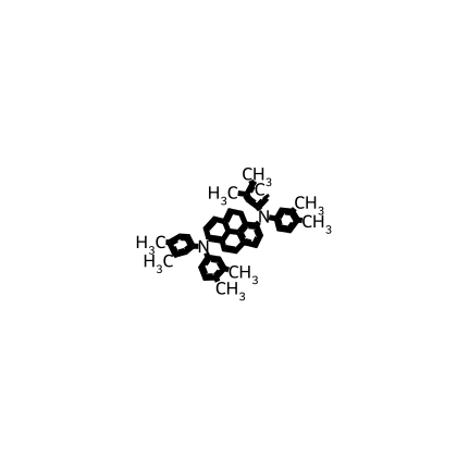 Cc1ccc(N(C2=C3C=Cc4ccc(N(c5ccc(C)c(C)c5)c5ccc(C)c(C)c5)c5c4C3C(=CC5)C=C2)c2ccc(C)c(C)c2)cc1C